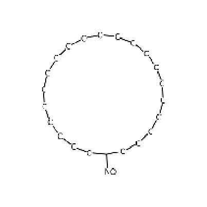 O=NC1CCCCCCCCCCCCCCCCCCCCC1